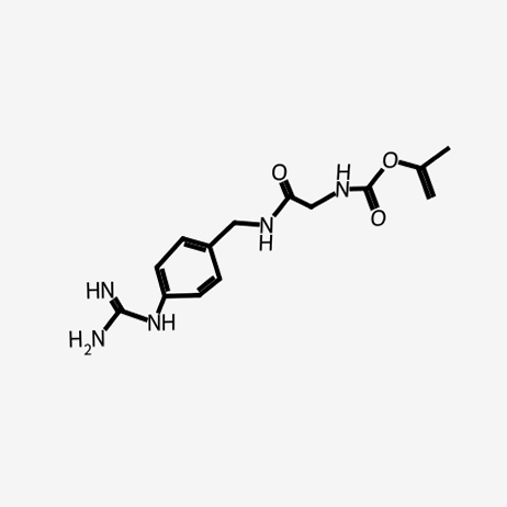 C=C(C)OC(=O)NCC(=O)NCc1ccc(NC(=N)N)cc1